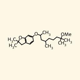 COC(C)(C)CCCC(C)CC(C)Oc1ccc2c(c1)OC(C)(C)C2